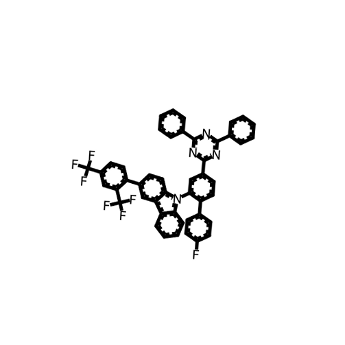 Fc1ccc(-c2ccc(-c3nc(-c4ccccc4)nc(-c4ccccc4)n3)cc2-n2c3ccccc3c3cc(-c4ccc(C(F)(F)F)cc4C(F)(F)F)ccc32)cc1